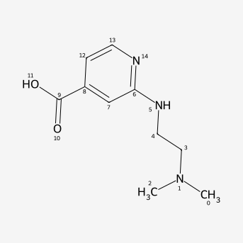 CN(C)CCNc1cc(C(=O)O)ccn1